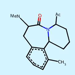 CNC1Cc2cccc(C)c2C2CCCC(C(C)=O)N2C1=O